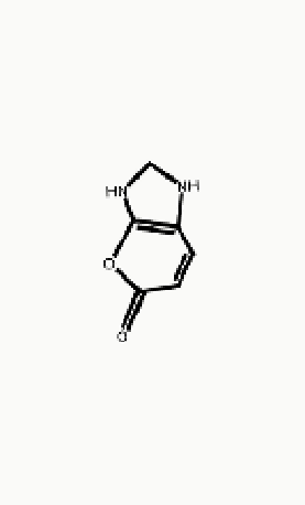 O=c1ccc2c(o1)NCN2